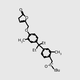 CCC(CC)(c1ccc(C[S+]([O-])C(C)(C)C)c(C)c1)c1ccc(OCC2=CCC(=O)O2)c(C)c1